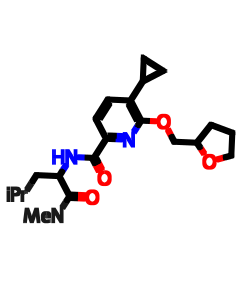 CNC(=O)C(CC(C)C)NC(=O)c1ccc(C2CC2)c(OCC2CCCO2)n1